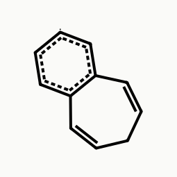 [c]1ccc2c(c1)C=CCC=C2